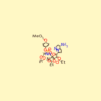 CCC(=O)O[C@H]1[C@H](c2ccc3c(N)ccnn23)O[C@](C#N)(COP(=O)(N[C@@H](C)C(=O)OC(C)C)Oc2ccc(OCCOC)cc2)[C@H]1OC(=O)CC